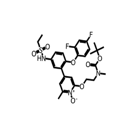 CCS(=O)(=O)Nc1ccc(Oc2ccc(F)cc2F)c(-c2cc(C)[n+]([O-])c(OCCN(C)C(=O)OC(C)(C)C)c2)c1